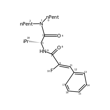 CCCCCN(CCCCC)C(=O)[C@H](NC(=O)/C(F)=C/c1ccccc1)C(C)C